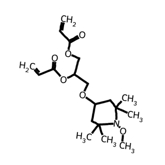 C=CC(=O)OCC(COC1CC(C)(C)N(OC)C(C)(C)C1)OC(=O)C=C